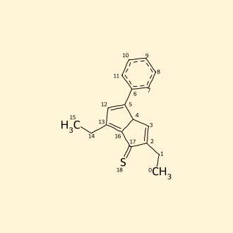 CCC1=CC2C(c3ccccc3)=CC(CC)=C2C1=S